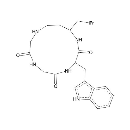 CC(C)CC1CCNCC(=O)NCC(=O)NC(Cc2c[nH]c3ccccc23)C(=O)N1